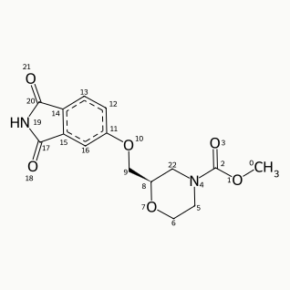 COC(=O)N1CCO[C@@H](COc2ccc3c(c2)C(=O)NC3=O)C1